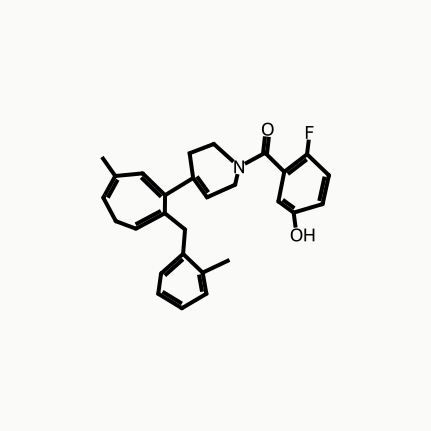 CC1=CCC=C(Cc2ccccc2C)C(C2=CCN(C(=O)c3cc(O)ccc3F)CC2)=C1